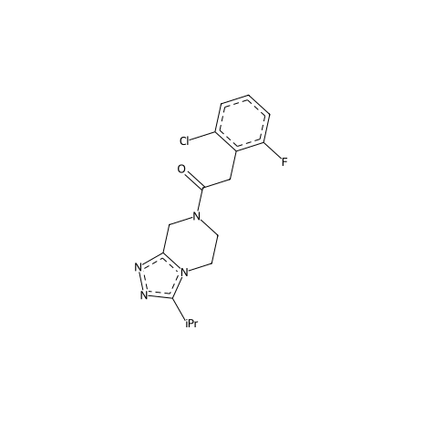 CC(C)c1nnc2n1CCN(C(=O)Cc1c(F)cccc1Cl)C2